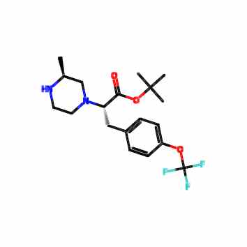 C[C@H]1CN([C@@H](Cc2ccc(OC(F)(F)F)cc2)C(=O)OC(C)(C)C)CCN1